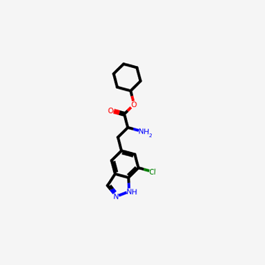 NC(Cc1cc(Cl)c2[nH]ncc2c1)C(=O)OC1CCCCC1